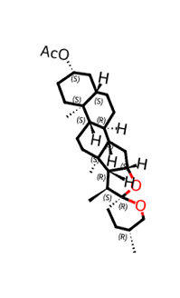 CC(=O)O[C@H]1CC[C@@]2(C)[C@@H](CC[C@@H]3[C@@H]2CC[C@]2(C)[C@@H]4[C@H](C[C@@H]32)O[C@]2(CC[C@@H](C)CO2)[C@H]4C)C1